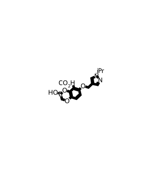 CC(C)n1cc(COc2ccc3c(c2C(=O)O)OB(O)CO3)cn1